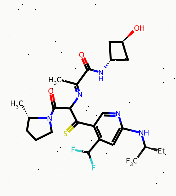 CC[C@H](Nc1cc(C(F)F)c(C(=S)C(/N=C(\C)C(=O)N[C@H]2C[C@H](O)C2)C(=O)N2CCC[C@@H]2C)cn1)C(F)(F)F